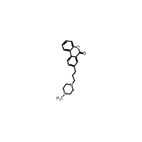 CN1CCN(CCCc2ccc3c(c2)c(=O)oc2ccccc23)CC1